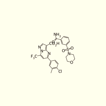 Cc1cc(-c2cc(C(F)(F)F)n3ncc(C(=O)O)c3n2)ccc1Cl.NC(=O)c1cccc(S(=O)(=O)N2CCOCC2)c1